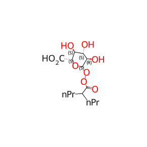 CCCC(CCC)C(=O)OO[C@@H]1O[C@H](C(=O)O)[C@@H](O)[C@H](O)[C@H]1O